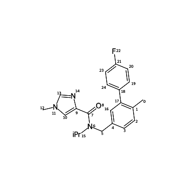 Cc1ccc(CN(C(=O)c2cn(C)cn2)C(C)C)cc1-c1ccc(F)cc1